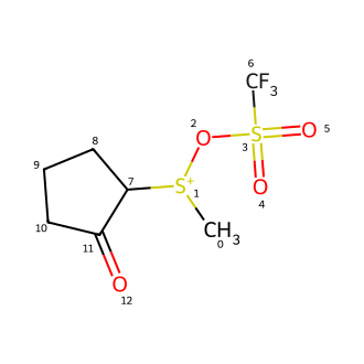 C[S+](OS(=O)(=O)C(F)(F)F)C1CCCC1=O